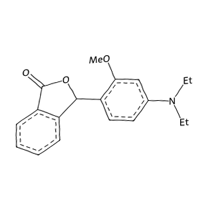 CCN(CC)c1ccc(C2OC(=O)c3ccccc32)c(OC)c1